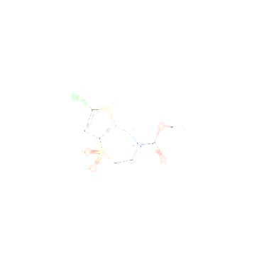 CC(C)(C)OC(=O)N1CCS(=O)(=O)c2cc(Br)sc2C1